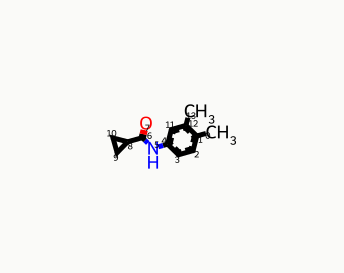 Cc1ccc(NC(=O)C2CC2)cc1C